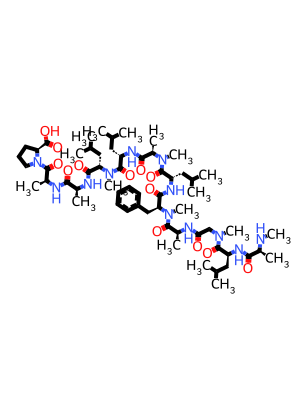 CN[C@@H](C)C(=O)N[C@@H](CC(C)C)C(=O)N(C)CC(=O)N[C@@H](C)C(=O)N(C)[C@@H](Cc1ccccc1)C(=O)N[C@@H](CC(C)C)C(=O)N(C)[C@@H](C)C(=O)N[C@@H](CC(C)C)C(=O)N(C)[C@@H](CC(C)C)C(=O)N[C@@H](C)C(=O)N[C@@H](C)C(=O)N1CCC[C@H]1C(=O)O